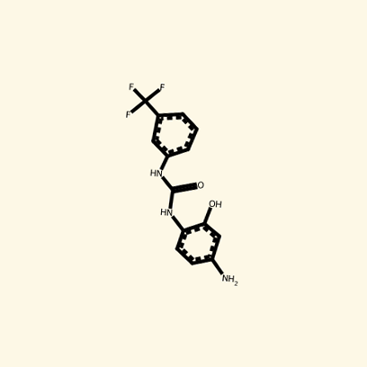 Nc1ccc(NC(=O)Nc2cccc(C(F)(F)F)c2)c(O)c1